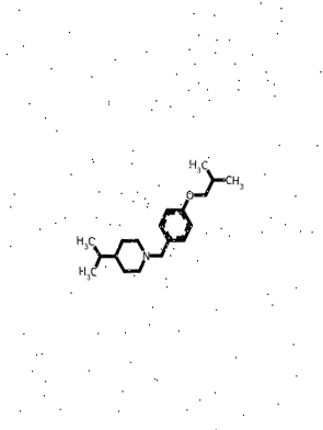 CC(C)COc1ccc(CN2CCC(C(C)C)CC2)cc1